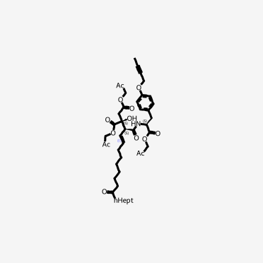 CC#CCOc1ccc(C[C@H](NC(=O)[C@@H](/C=C/CCCCCCC(=O)CCCCCCC)[C@@](O)(CC(=O)OCC(C)=O)C(=O)OCC(C)=O)C(=O)OCC(C)=O)cc1